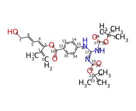 C=C(C)/C(=C\C=C\CO)OC(=O)c1ccc(NC(=NC(=O)OC(C)(C)C)NC(=O)OC(C)(C)C)cc1